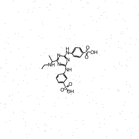 CCNC(C)c1nc(Nc2ccc(S(=O)(=O)O)cc2)nc(Nc2cccc(S(=O)(=O)O)c2)n1